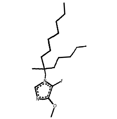 CCCCCCCC(C)(CCCCC)n1cnc(OC)c1F